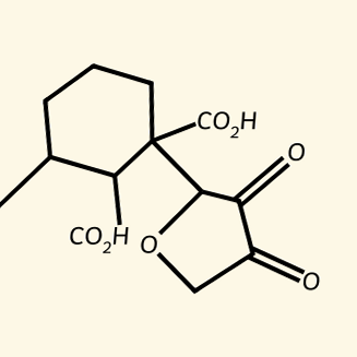 CC1CCCC(C(=O)O)(C2OCC(=O)C2=O)C1C(=O)O